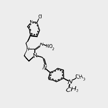 CN(C)c1ccc(N=CN2CCN(Cc3ccc(Cl)nc3)C2=N[N+](=O)[O-])cc1